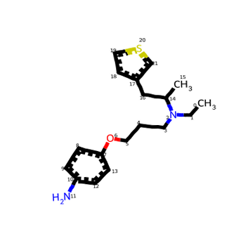 CCN(CCCOc1ccc(N)cc1)C(C)Cc1ccsc1